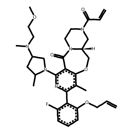 C=CCOc1cccc(F)c1-c1nc(N2CC(N(C)CCOC)CC2C)c2c(c1C)OC[C@H]1CN(C(=O)C=C)CCN1C2=O